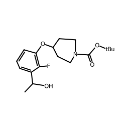 CC(O)c1cccc(OC2CCN(C(=O)OC(C)(C)C)CC2)c1F